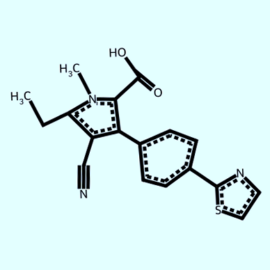 CCc1c(C#N)c(-c2ccc(-c3nccs3)cc2)c(C(=O)O)n1C